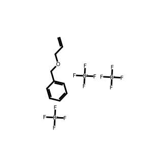 C=CCOCc1ccccc1.F[B-](F)(F)F.F[B-](F)(F)F.F[B-](F)(F)F